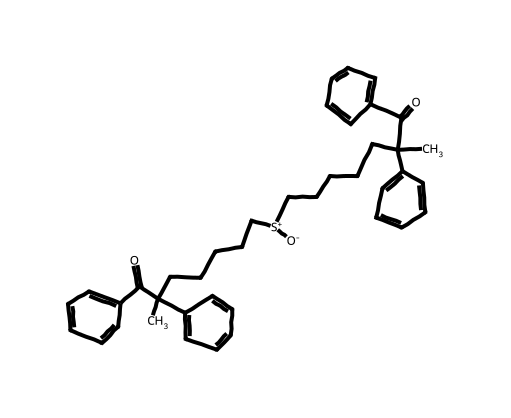 CC(CCCCC[S+]([O-])CCCCCC(C)(C(=O)c1ccccc1)c1ccccc1)(C(=O)c1ccccc1)c1ccccc1